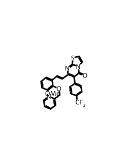 COc1cccc(/C=C/c2nc3sccn3c(=O)c2-c2ccc(C(F)(F)F)cc2)c1OCc1ccccn1